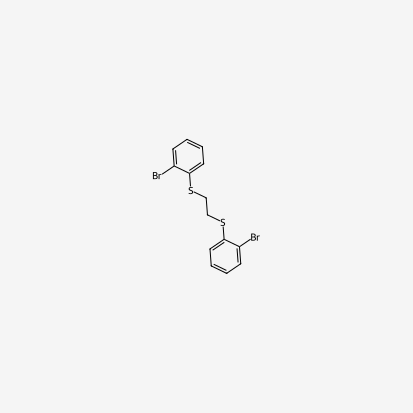 Brc1ccccc1SCCSc1ccccc1Br